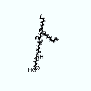 CC/C=C\CCCCOC(CCC(=O)OCCCCCCCNCCCCCC(=O)O)OCCCC/C=C\CC